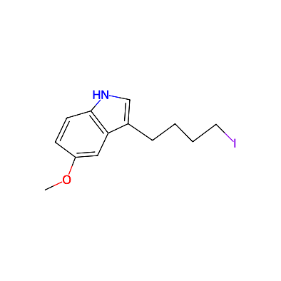 COc1ccc2[nH]cc(CCCCI)c2c1